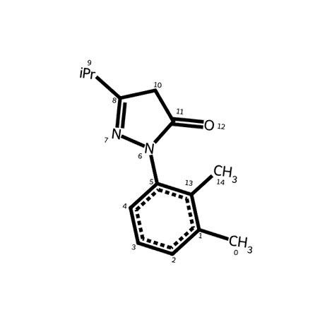 Cc1cccc(N2N=C(C(C)C)CC2=O)c1C